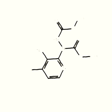 CC(C)(C)OC(=O)NN(C(=O)OC(C)(C)C)c1nccc(I)c1C#N